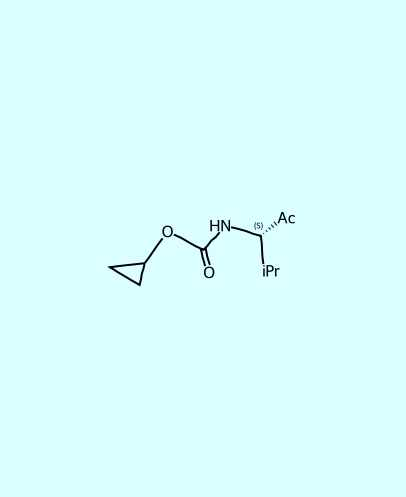 CC(=O)[C@@H](NC(=O)OC1CC1)C(C)C